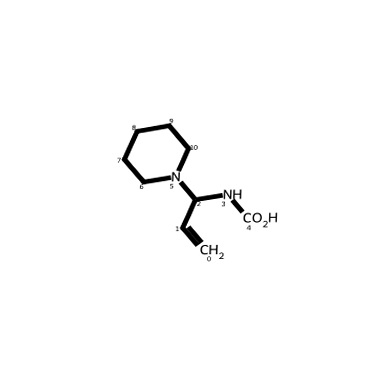 C=CC(NC(=O)O)N1CCCCC1